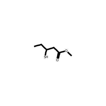 CCC(S)CC(=O)OC